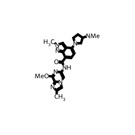 CNC1CCN(c2ccc(C(=O)Nc3cn4cc(C)nc4c(OC)n3)c3nn(C)cc23)C1